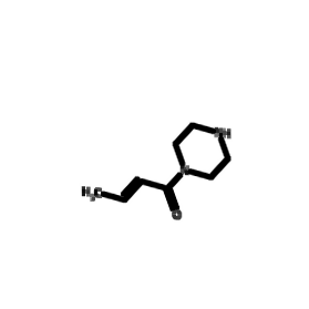 C/C=C/C(=O)N1CCNCC1